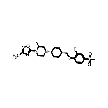 C[C@H]1CN([C@H]2CC[C@H](COc3ccc(S(C)(=O)=O)cc3F)CC2)CCN1c1nc(C(F)(F)F)no1